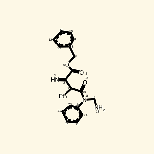 CCC(C(=N)C(=O)OCc1ccccc1)C(=O)N(CN)c1ccccc1